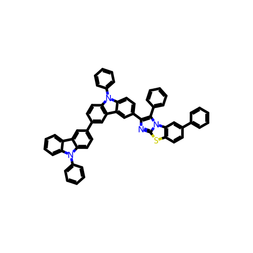 c1ccc(-c2ccc3sc4nc(-c5ccc6c(c5)c5cc(-c7ccc8c(c7)c7ccccc7n8-c7ccccc7)ccc5n6-c5ccccc5)c(-c5ccccc5)n4c3c2)cc1